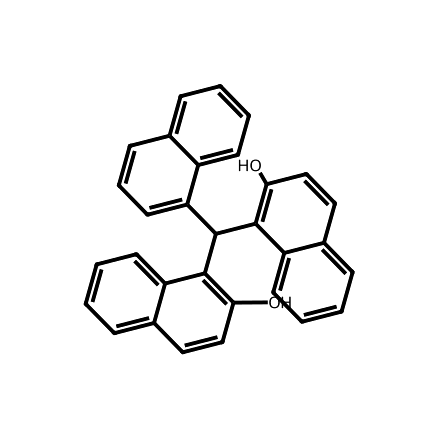 Oc1ccc2ccccc2c1C(c1cccc2ccccc12)c1c(O)ccc2ccccc12